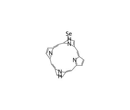 [Se]=C1C=C2C=C3C=CC(=N3)C=c3ccc([nH]3)=CC3=NC(=CC1N2)C=C3